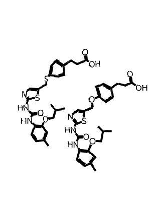 Cc1ccc(NC(=O)Nc2ncc(COc3ccc(CCC(=O)O)cc3)s2)c(OCC(C)C)c1.Cc1ccc(NC(=O)Nc2ncc(CSc3ccc(CCC(=O)O)cc3)s2)c(OCC(C)C)c1